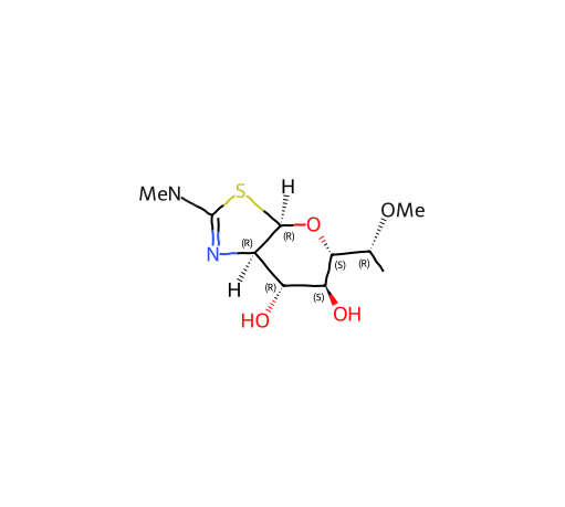 CNC1=N[C@@H]2[C@@H](O)[C@H](O)[C@@H]([C@@H](C)OC)O[C@@H]2S1